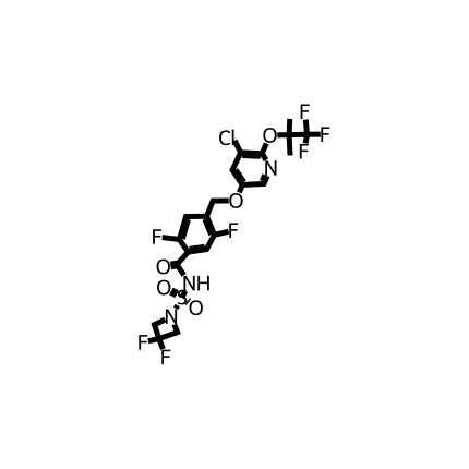 CC(C)(Oc1ncc(OCc2cc(F)c(C(=O)NS(=O)(=O)N3CC(F)(F)C3)cc2F)cc1Cl)C(F)(F)F